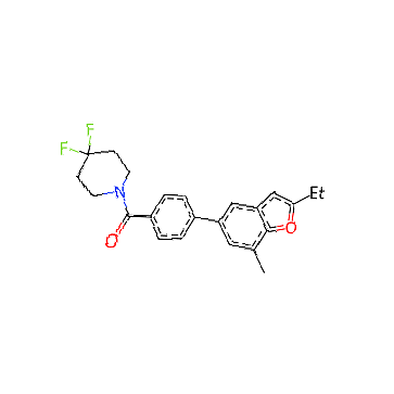 CCc1cc2cc(-c3ccc(C(=O)N4CCC(F)(F)CC4)cc3)cc(C)c2o1